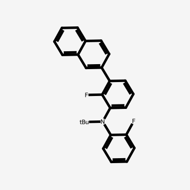 CC(C)(C)N(c1ccccc1F)c1cccc(-c2ccc3ccccc3c2)c1F